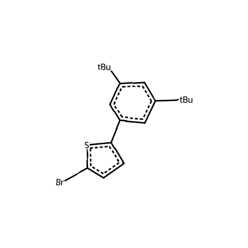 CC(C)(C)c1cc(-c2ccc(Br)s2)cc(C(C)(C)C)c1